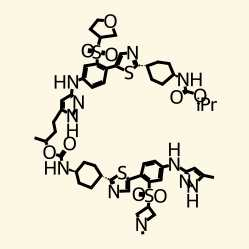 Cc1cc(Nc2ccc(-c3cnc([C@H]4CC[C@H](NC(=O)OC(C)CCc5cc(Nc6ccc(-c7cnc([C@H]8CC[C@H](NC(=O)OC(C)C)CC8)s7)c(S(=O)(=O)C7CCOC7)c6)n[nH]5)CC4)s3)c(S(=O)(=O)C3CN(C)C3)c2)n[nH]1